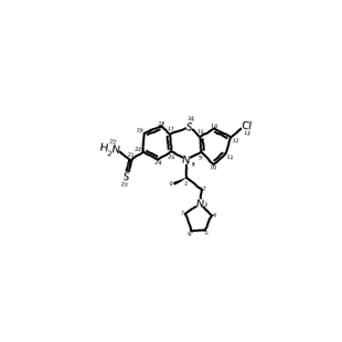 C[C@H](CN1CCCC1)N1c2ccc(Cl)cc2Sc2ccc(C(N)=S)cc21